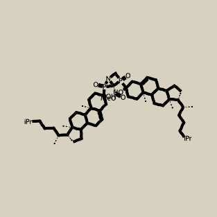 COC(=O)[C@]12N(CP1(=O)C1(O)CC[C@@]3(C)C(=CCC4C3CC[C@@]3(C)C4CC[C@@H]3[C@H](C)CCCC(C)C)C1)P2(=O)C1(O)CC[C@@]2(C)C(=CCC3C2CC[C@@]2(C)C3CC[C@@H]2[C@H](C)CCCC(C)C)C1